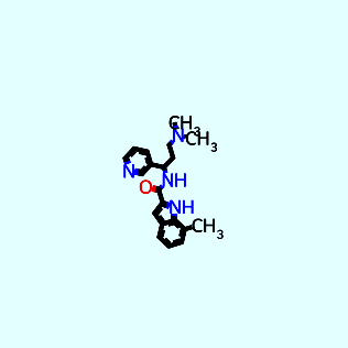 Cc1cccc2cc(C(=O)NC(CCN(C)C)c3cccnc3)[nH]c12